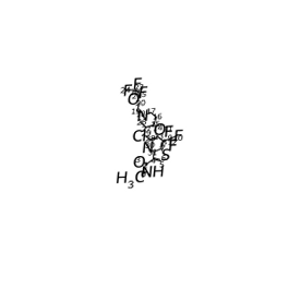 CNC(=O)c1csc2c(C(F)(F)F)c(OC3CCN(CCOC(F)(F)F)CC3)c(Cl)nc12